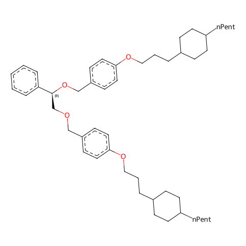 CCCCCC1CCC(CCCOc2ccc(COC[C@H](OCc3ccc(OCCCC4CCC(CCCCC)CC4)cc3)c3ccccc3)cc2)CC1